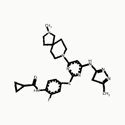 CC1=NN=C(Nc2cc(N3CCC4(CCN(C)C4)CC3)nc(Sc3ccc(NC(=O)C4CC4)c(F)c3)n2)C1